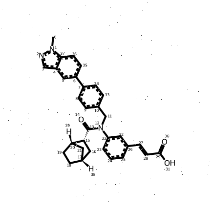 Cn1ncc2cc(-c3ccc(CN(C(=O)[C@@H]4C[C@@H]5CC[C@H]4C5)c4cccc(C=CC(=O)O)c4)cc3)ccc21